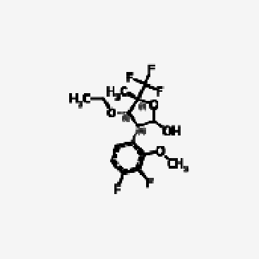 CCO[C@H]1[C@@H](c2ccc(F)c(F)c2OC)C(O)O[C@@]1(C)C(F)(F)F